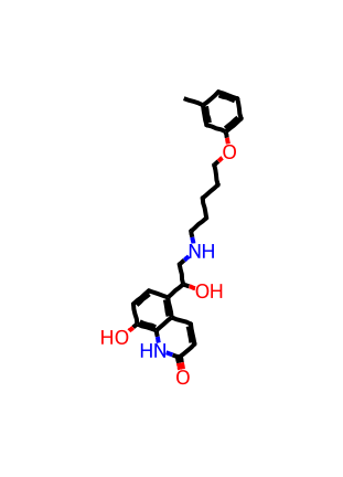 Cc1cccc(OCCCCCNCC(O)c2ccc(O)c3[nH]c(=O)ccc23)c1